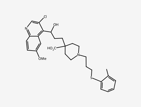 COc1ccc2ncc(Cl)c(C(O)CCC3(C(=O)O)CCN(CCCSc4ccccc4C)CC3)c2c1